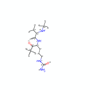 C=C(NC(CCCNC(N)=O)C(=O)C(C)(C)C)C(NC(C)(C)C)C(C)C